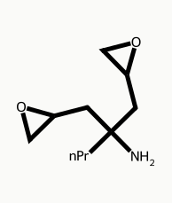 CCCC(N)(CC1CO1)CC1CO1